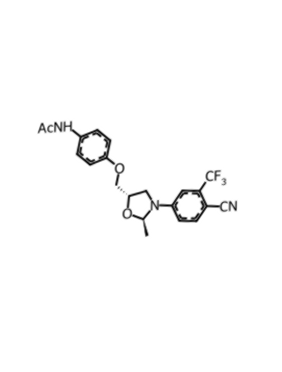 CC(=O)Nc1ccc(OC[C@@H]2CN(c3ccc(C#N)c(C(F)(F)F)c3)[C@@H](C)O2)cc1